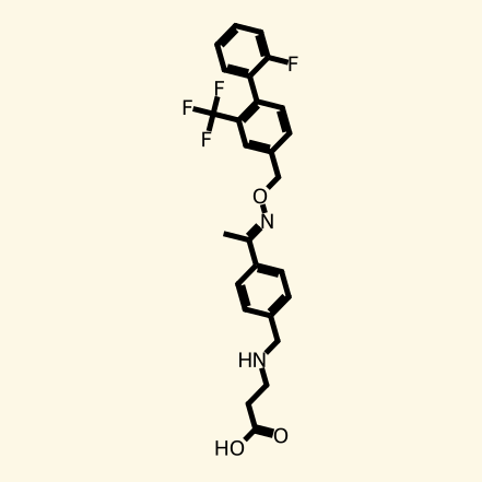 C/C(=N\OCc1ccc(-c2ccccc2F)c(C(F)(F)F)c1)c1ccc(CNCCC(=O)O)cc1